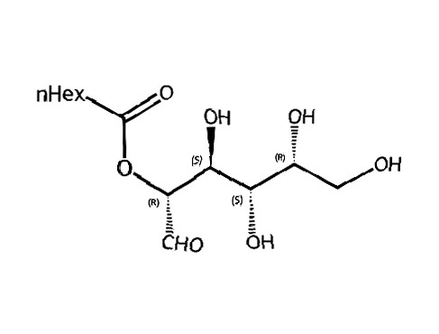 CCCCCCC(=O)O[C@@H](C=O)[C@@H](O)[C@@H](O)[C@H](O)CO